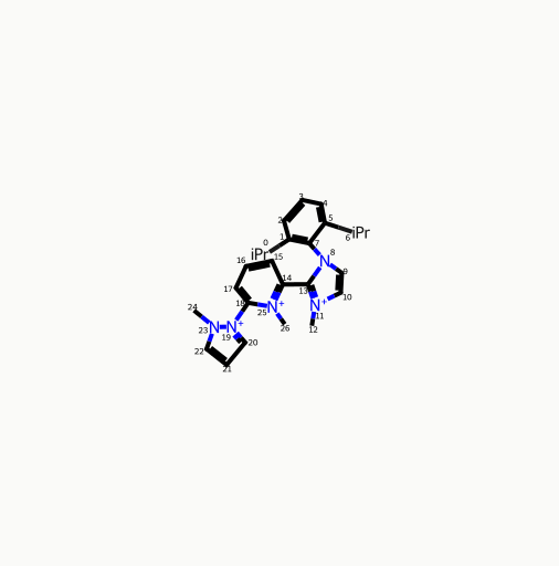 CC(C)c1cccc(C(C)C)c1-n1cc[n+](C)c1-c1cccc(-[n+]2cccn2C)[n+]1C